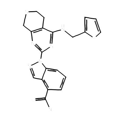 NC(=O)c1cccc2c1cnn2-c1nc2c(c(NCc3cccs3)n1)CCNC2